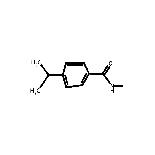 CC(C)c1ccc(C(=O)NI)cc1